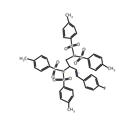 Cc1ccc(S(=O)(=O)N(CC(/C=C/c2ccc(F)cc2)N(S(=O)(=O)c2ccc(C)cc2)S(=O)(=O)c2ccc(C)cc2)S(=O)(=O)c2ccc(C)cc2)cc1